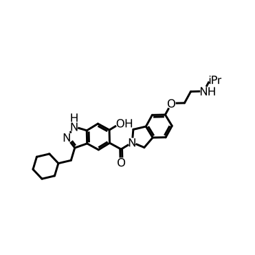 CC(C)NCCOc1ccc2c(c1)CN(C(=O)c1cc3c(CC4CCCCC4)n[nH]c3cc1O)C2